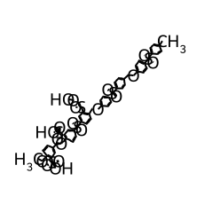 COc1ccc(COc2ccc(S(=O)(=O)c3ccc(COc4ccc(S(=O)(=O)c5ccc(COc6ccc(S(=O)(=O)c7ccc(C)cc7)cc6)cc5)cc4)c(SOOO)c3)cc2S(=O)(=O)O)cc1S(=O)(=O)O